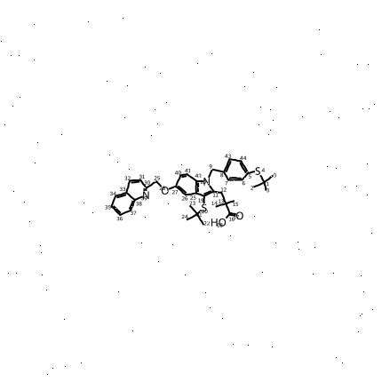 CC(C)(C)Sc1ccc(Cn2c(CC(C)(C)C(=O)O)c(SC(C)(C)C)c3cc(OCc4ccc5ccccc5n4)ccc32)cc1